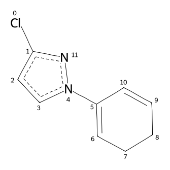 Clc1ccn(C2=CCCC=C2)n1